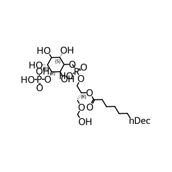 CCCCCCCCCCCCCCCC(=O)O[C@H](COCO)COP(=O)(O)OC1C(O)[C@H](OP(=O)(O)O)[C@H](O)C(O)[C@@H]1O